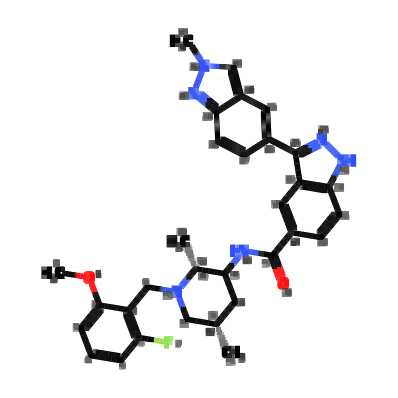 COc1cccc(F)c1CN1C[C@@H](C)CC(NC(=O)c2ccc3[nH]nc(-c4ccc5nn(C)cc5c4)c3c2)[C@H]1C